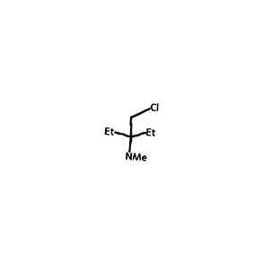 CCC(CC)(CCl)NC